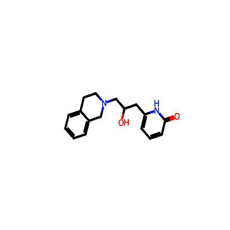 O=c1cccc(CC(O)CN2CCc3ccccc3C2)[nH]1